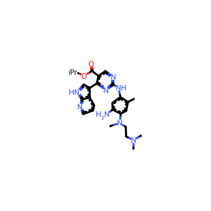 Cc1cc(N(C)CCN(C)C)c(N)cc1Nc1ncc(C(=O)OC(C)C)c(-c2c[nH]c3ncccc23)n1